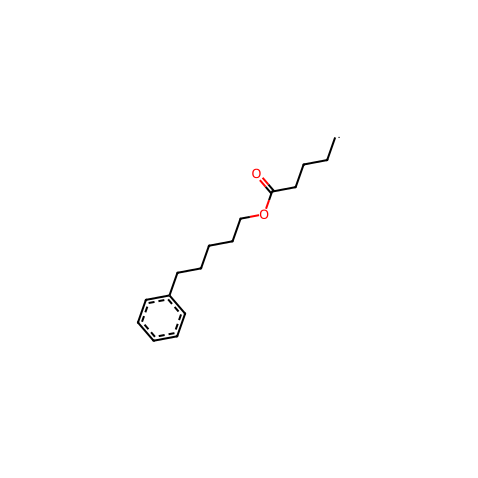 [CH2]CCCC(=O)OCCCCCc1ccccc1